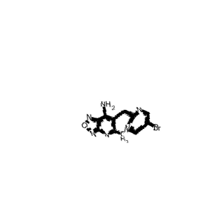 Cc1nc2nonc2c(N)c1Cc1ncc(Br)cn1